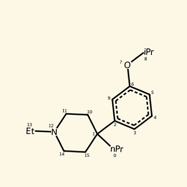 CCCC1(c2cccc(OC(C)C)c2)CCN(CC)CC1